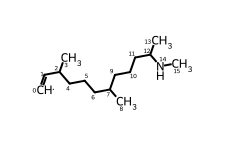 [CH]=CC(C)CCCC(C)CCCC(C)NC